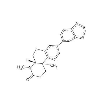 CN1C(=O)CC[C@]2(C)c3ccc(-c4ccc5ncccc5c4)cc3CC[C@@H]12